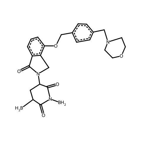 BC1CC(N2Cc3c(OCc4ccc(CN5CCOCC5)cc4)cccc3C2=O)C(=O)N(B)C1=O